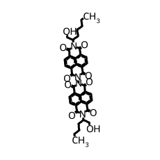 CCCCCC(CO)N1C(=O)c2ccc3c4c(ccc(c24)C1=O)C(=O)N(N1C(=O)c2ccc4c5c(ccc(c25)C1=O)C(=O)N(C(CO)CCCC)C4=O)C3=O